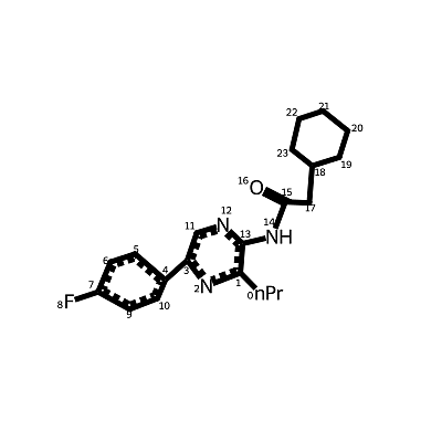 CCCc1nc(-c2ccc(F)cc2)cnc1NC(=O)CC1CCCCC1